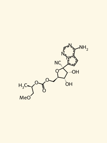 COC[C@@H](C)OC(=O)OC[C@H]1O[C@@](C#N)(c2ccc3c(N)ncnn23)[C@H](O)[C@@H]1O